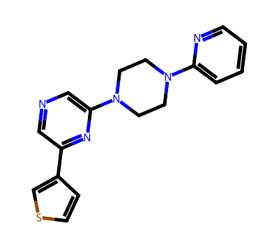 c1ccc(N2CCN(c3cncc(-c4ccsc4)n3)CC2)nc1